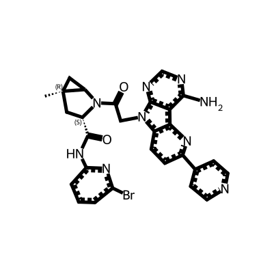 C[C@]12CC1N(C(=O)Cn1c3ccc(-c4ccncc4)nc3c3c(N)ncnc31)[C@H](C(=O)Nc1cccc(Br)n1)C2